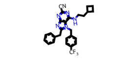 N#Cc1nc(NCCC2CCC2)c2c(n1)nc(Cc1ccccc1)n2Cc1ccc(C(F)(F)F)cc1